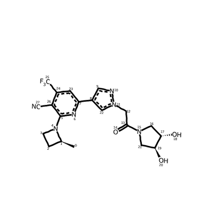 C[C@H]1CCN1c1nc(-c2cnn(CC(=O)N3C[C@H](O)[C@@H](O)C3)c2)cc(C(F)(F)F)c1C#N